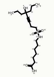 CCCC(O)(C#CCCS(=O)(=O)NCCCCCCC(=O)O)CCC